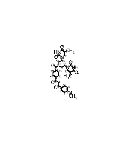 COc1ccc(C(=O)CC(=O)c2ccc(C(=O)N(CCn3cc(C)c(=O)[nH]c3=O)CCn3cc(C)c(=O)[nH]c3=O)cc2)cc1